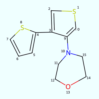 [c]1scc(-c2cccs2)c1N1CCOCC1